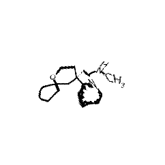 CNCC[C@@]1(c2ccccn2)CCOC2(CCCC2)C1